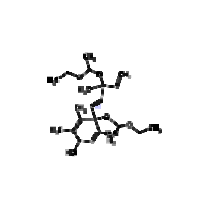 C=CC(C)(/C=C/C1(OC(C)OCC)C(C)=CC(O)C(C)=C1C)OC(C)OCC